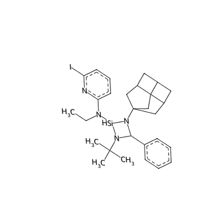 CCN(c1cccc(I)n1)[SiH]1N(C(C)(C)C)C(c2ccccc2)N1C12CC3CC4CC(C1)C43C2